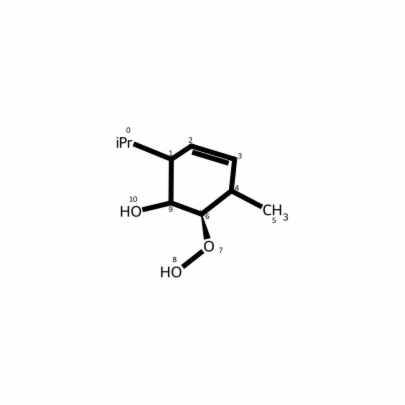 CC(C)C1C=CC(C)[C@@H](OO)C1O